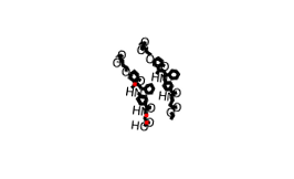 CCOC(=O)CCNC(=O)c1ccc(NC(c2oc3ccc(OCCCS(C)(=O)=O)cc3c2C)C2CCCCC2)cc1.Cc1c(C(Nc2ccc(C(=O)NCCC(=O)O)cc2)C2CCCCC2)oc2ccc(OCCCS(C)(=O)=O)cc12